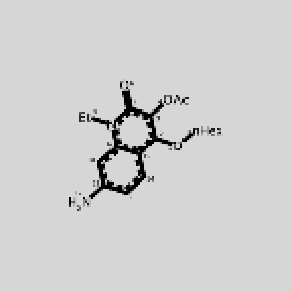 CCCCCCOc1c(OC(C)=O)c(=O)n(CC)c2cc(N)ccc12